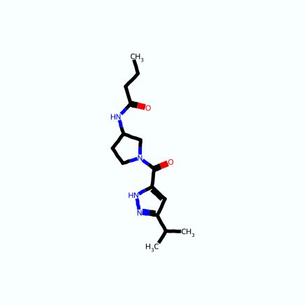 CCCC(=O)NC1CCN(C(=O)c2cc(C(C)C)n[nH]2)C1